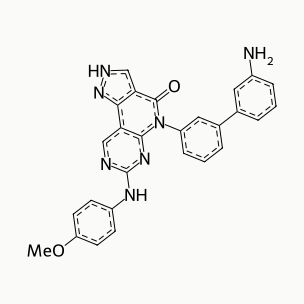 COc1ccc(Nc2ncc3c4n[nH]cc4c(=O)n(-c4cccc(-c5cccc(N)c5)c4)c3n2)cc1